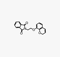 O=C1c2ccccc2C(=O)N1CCOc1cccc2c1OCC=C2